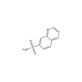 NS(=O)(=O)c1ccc2cccnc2c1